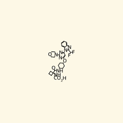 O=C(O)NC1(C(=O)N[C@H]2CC[C@H](Oc3cc(-n4c(C(F)F)nc5ccccc54)nc(N4CCOCC4)n3)CC2)CCC1